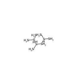 [SiH3][SiH]([SiH3])[SiH2][SiH]([SiH3])[SiH]([SiH3])[SiH3]